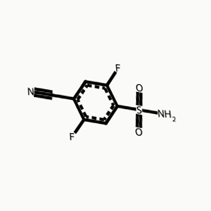 N#Cc1cc(F)c(S(N)(=O)=O)cc1F